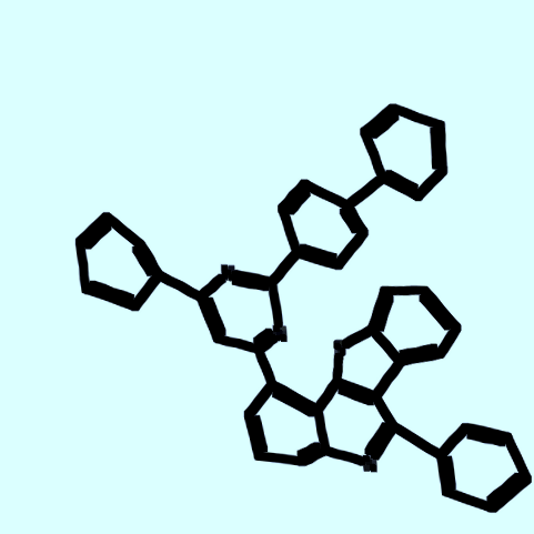 c1ccc(-c2ccc(-c3nc(-c4ccccc4)cc(-c4cccc5nc(-c6ccccc6)c6c7ccccc7sc6c45)n3)cc2)cc1